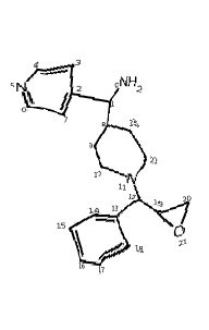 NC(c1ccncc1)C1CCN(C(c2ccccc2)C2CO2)CC1